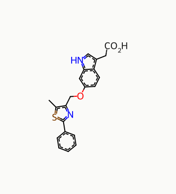 Cc1sc(-c2ccccc2)nc1COc1ccc2c(CC(=O)O)c[nH]c2c1